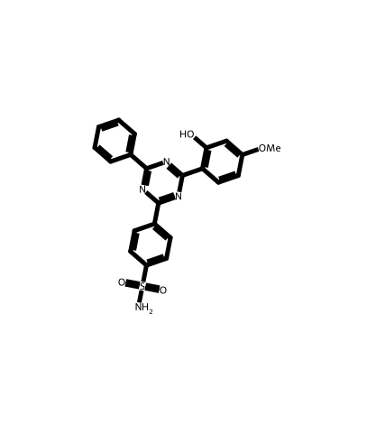 COc1ccc(-c2nc(-c3ccccc3)nc(-c3ccc(S(N)(=O)=O)cc3)n2)c(O)c1